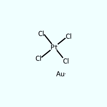 [Au].[Cl][Pt]([Cl])([Cl])[Cl]